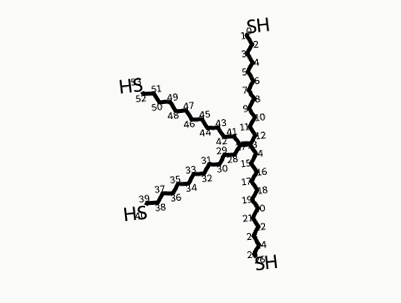 SCCCCCCCCCCCCC(CCCCCCCCCCCCS)=C(CCCCCCCCCCCCS)CCCCCCCCCCCCS